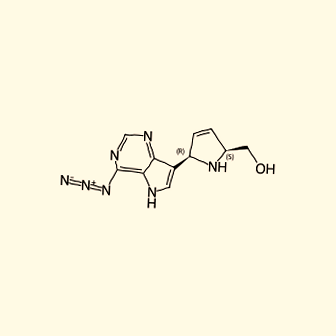 [N-]=[N+]=Nc1ncnc2c([C@H]3C=C[C@@H](CO)N3)c[nH]c12